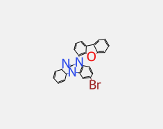 Brc1ccc2c(c1)N1C(=NC3C=CC=CC31)N2c1cccc2c1oc1ccccc12